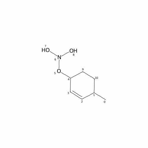 CC1C=CC(ON(O)O)CC1